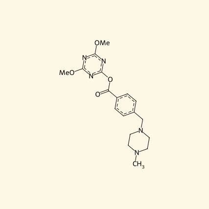 COc1nc(OC)nc(OC(=O)c2ccc(CN3CCN(C)CC3)cc2)n1